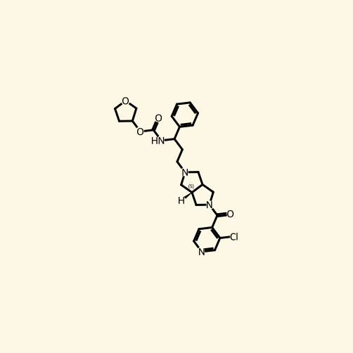 O=C(NC(CCN1CC2CN(C(=O)c3ccncc3Cl)C[C@@H]2C1)c1ccccc1)OC1CCOC1